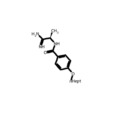 CCCCCCCOc1ccc(C(=O)N[C@H](C)C(=N)N)cc1